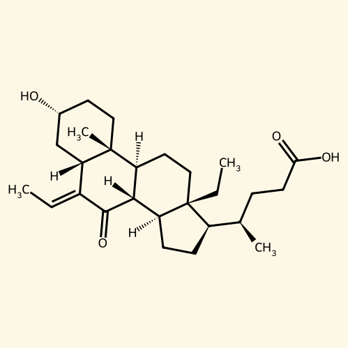 C/C=C1/C(=O)[C@@H]2[C@H](CC[C@]3(CC)[C@@H]([C@H](C)CCC(=O)O)CC[C@@H]23)[C@@]2(C)CC[C@@H](O)C[C@@H]12